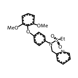 CCS(=O)(=O)N(Cc1ccccn1)c1ccc(Oc2c(OC)cccc2OC)cc1